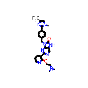 CN(C)CCOc1ncccc1-c1ncc2[nH]c(=O)n(Cc3ccc(-c4nc(C(F)(F)F)cn4C)cc3)c2n1